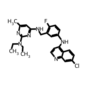 CCN(CC)c1nc(C)cc(NCc2cc(Nc3ccnc4cc(Cl)ccc34)ccc2F)n1